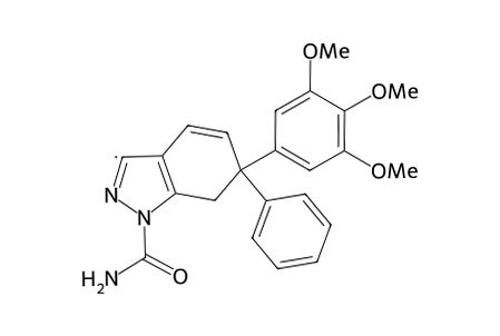 COc1cc(C2(c3ccccc3)C=Cc3[c]nn(C(N)=O)c3C2)cc(OC)c1OC